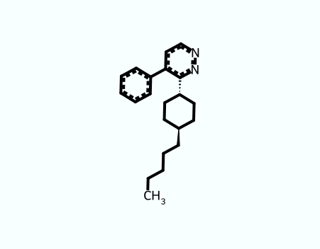 CCCCC[C@H]1CC[C@H](c2nnccc2-c2ccccc2)CC1